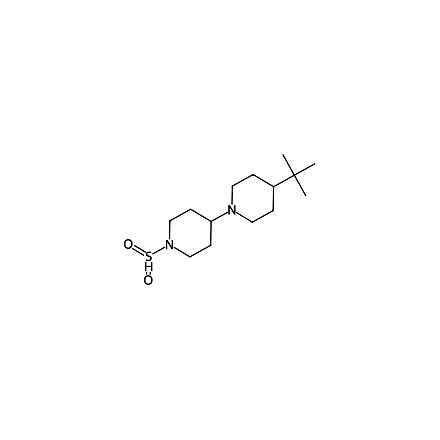 CC(C)(C)C1CCN(C2CCN([SH](=O)=O)CC2)CC1